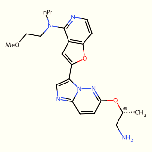 CCCN(CCOC)c1nccc2oc(-c3cnc4ccc(O[C@H](C)CN)nn34)cc12